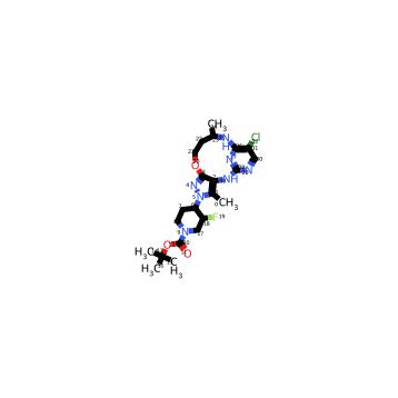 Cc1c2c(nn1C1CCN(C(=O)OC(C)(C)C)CC1F)OCCC(C)Nc1nc(ncc1Cl)N2